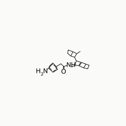 CC1C2CCC2C1C1C2=C(C3CCC23)C1CNC(=O)Cc1ccc(N)cc1